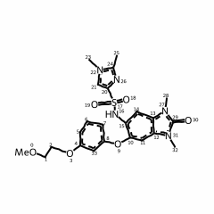 COCCOc1cccc(Oc2cc3c(cc2NS(=O)(=O)c2cn(C)c(C)n2)n(C)c(=O)n3C)c1